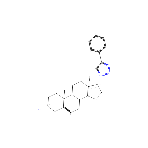 C[C@]12CC[C@@H](N)CC1=CCC1C2CC[C@@]2(C)C1CC[C@H]2n1cc(-c2ccccc2)nn1